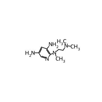 CN(C)CCN(C)c1ncc(N)cc1N